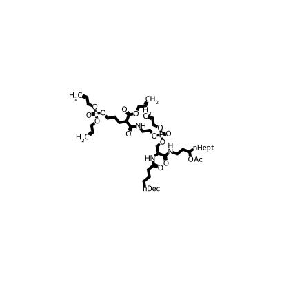 C=CCOC(=O)C(CCCOP(=O)(OCC=C)OCC=C)C(=O)NCCOP(=O)(OCC=C)OCC(NC(=O)CCCCCCCCCCCCC)C(=O)NCCC(CCCCCCC)OC(C)=O